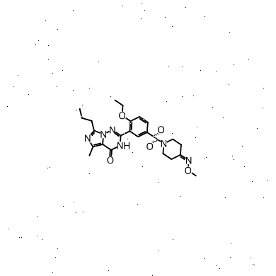 CCCc1nc(C)c2c(=O)[nH]c(-c3cc(S(=O)(=O)N4CCC(=NOC)CC4)ccc3OCC)nn12